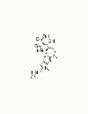 CC1CCc2c([nH]c(=O)c(C(=O)O)c2O)-c2cc3cc(CNC4(C)CC4)n(C)c3cc21